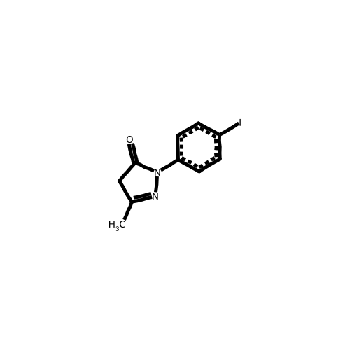 CC1=NN(c2ccc(I)cc2)C(=O)C1